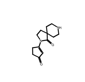 O=C1C=C(N2CCC3(CCNCC3)C2=O)CC1